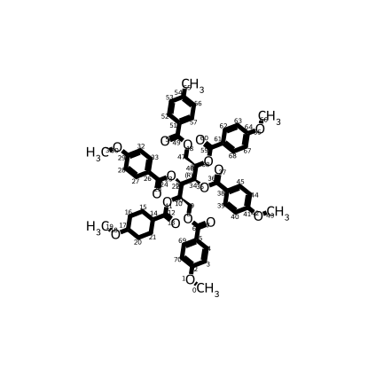 COc1ccc(C(=O)OC[C@@H](OC(=O)C2CCC(OC)CC2)[C@@H](OC(=O)c2ccc(OC)cc2)[C@H](OC(=O)c2ccc(OC)cc2)[C@@H](COC(=O)c2ccc(C)cc2)OC(=O)c2ccc(OC)cc2)cc1